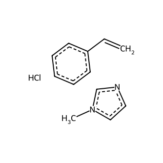 C=Cc1ccccc1.Cl.Cn1ccnc1